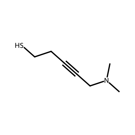 CN(C)CC#CCCS